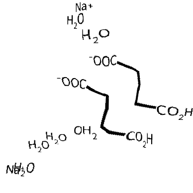 O.O.O.O.O.O.O=C([O-])CCC(=O)O.O=C([O-])CCC(=O)O.[Na+].[Na+]